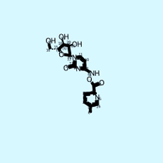 Cc1ccc(C(=O)ONc2ccn([C@@H]3O[C@H](CO)[C@@H](O)[C@H]3O)c(=O)n2)nc1